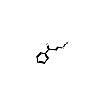 CCOC=CC(=O)c1ccccc1